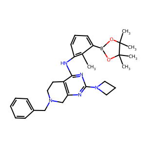 Cc1c(Nc2nc(N3CCC3)nc3c2CCN(Cc2ccccc2)C3)cccc1B1OC(C)(C)C(C)(C)O1